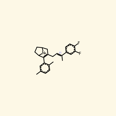 C/C(=C\CC1=C(c2cc(C)ccc2C)C2CCC(C1)N2C)c1ccc(F)c(F)c1